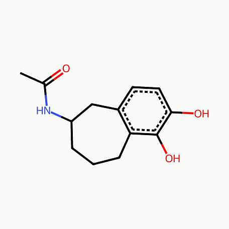 CC(=O)NC1CCCc2c(ccc(O)c2O)C1